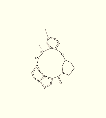 C[C@H]1Nc2ccn3ncc(c3n2)C(=O)N2CCCC(C2)Oc2ccc(F)cc21